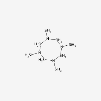 [SiH3]N1[SiH2]N([SiH3])[SiH2]N([SiH3])[SiH2]N([SiH3])[SiH2]1